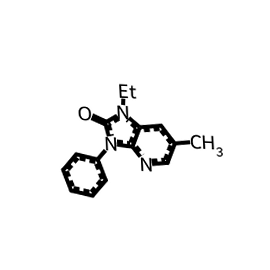 CCn1c(=O)n(-c2ccccc2)c2ncc(C)cc21